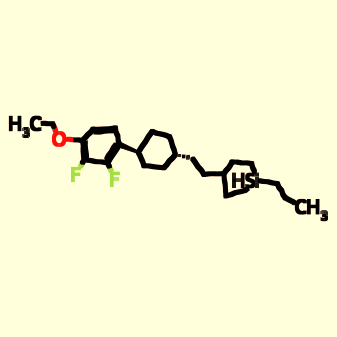 CCC[SiH]1CCC(CC[C@H]2CC[C@H](c3ccc(OCC)c(F)c3F)CC2)CC1